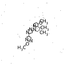 CCOc1ncc(-c2cc(NC[C@@H](C)C(C)c3ccccc3OC)ncn2)cn1